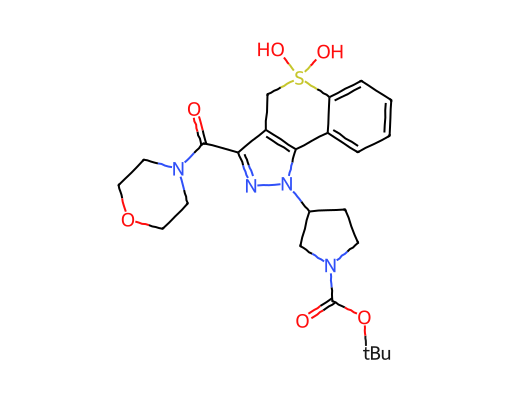 CC(C)(C)OC(=O)N1CCC(n2nc(C(=O)N3CCOCC3)c3c2-c2ccccc2S(O)(O)C3)C1